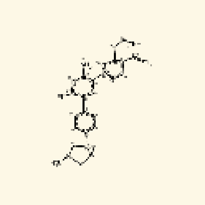 CN1CC2C[C@]2(c2ccc(-c3cc(-c4ccc5c(c4)CCNC5=O)c(N)nc3F)cc2)C1